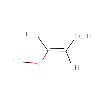 C/C(OC#N)=C(/C)C(=O)O